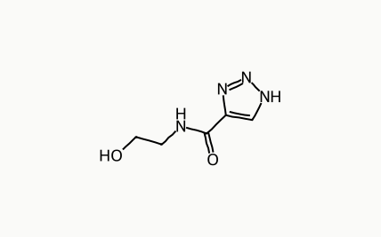 O=C(NCCO)c1c[nH]nn1